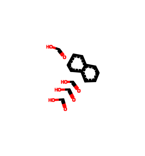 O=CO.O=CO.O=CO.O=CO.c1ccc2ccccc2c1